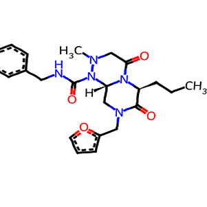 CCC[C@H]1C(=O)N(Cc2ccco2)C[C@H]2N1C(=O)CN(C)N2C(=O)NCc1ccccc1